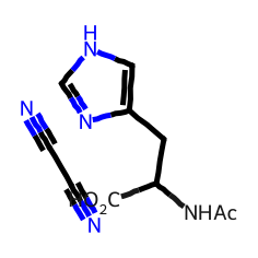 CC(=O)NC(Cc1c[nH]cn1)C(=O)O.N#CC#N